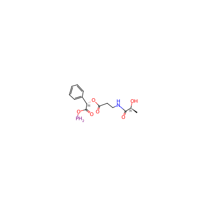 C[C@H](O)C(=O)NCCC(=O)O[C@H](C(=O)OP)c1ccccc1